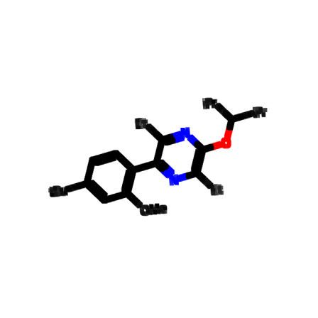 CCc1nc(-c2ccc(C(C)(C)C)cc2OC)c(CC)nc1OC(C(C)C)C(C)C